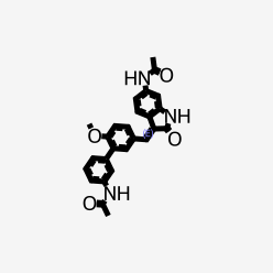 COc1ccc(/C=C2/C(=O)Nc3cc(NC(C)=O)ccc32)cc1-c1cccc(NC(C)=O)c1